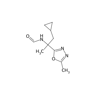 Cc1nnc(C(C)(CC2CC2)NC=O)o1